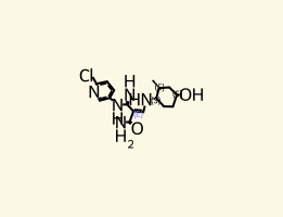 C[C@H]1C[C@@H](O)CC[C@@H]1N/C=C(\C(=N)Nc1ccc(Cl)nc1)C(N)=O